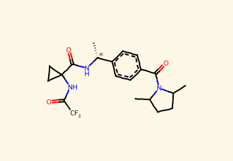 CC1CCC(C)N1C(=O)c1ccc([C@@H](C)NC(=O)C2(NC(=O)C(F)(F)F)CC2)cc1